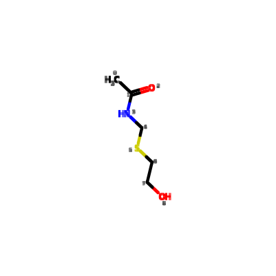 CC(=O)NCSCCO